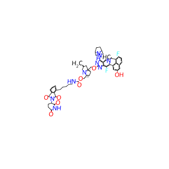 C#Cc1c(F)ccc2cc(O)cc(-c3ncc4c(N5CC6CCC(C5)N6)nc(OC[C@@]56CC[C@@H](COC(=O)NCCCCCc7cccc8c7C(=O)N(C7CCC(=O)NC7=O)C8=O)N5CC(=C)C6)nc4c3F)c12